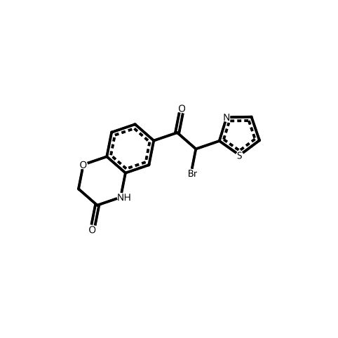 O=C1COc2ccc(C(=O)C(Br)c3nccs3)cc2N1